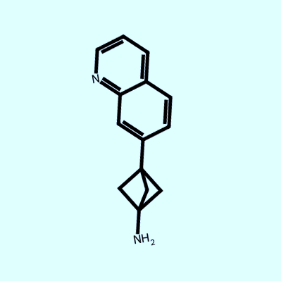 NC12CC(c3ccc4cccnc4c3)(C1)C2